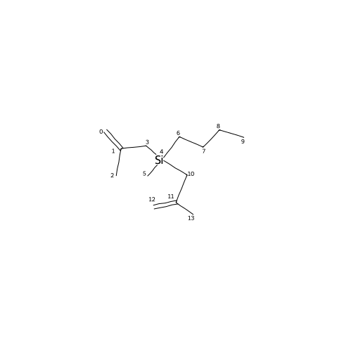 C=C(C)C[Si](C)(CCCC)CC(=C)C